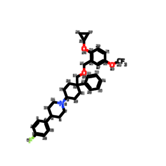 Fc1ccc(C2CCN(C3CCC(COCc4cc(OC(F)(F)F)ccc4OC4CC4)(c4ccccc4)CC3)CC2)cc1